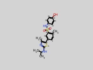 Cc1ccc(-c2sc(NC(C)C)nc2C)cc1S(=O)(=O)Nc1ccc(O)cc1